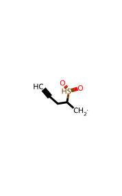 C#CCC([CH2])[SH](=O)=O